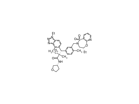 CC[C@@H]1CN(Cc2cc([C@@H](c3ccc4c(nnn4CC)c3C)C(C)(C)C(=O)N[C@@H]3CCOC3)ccc2C)S(=O)(=O)c2cccnc2O1